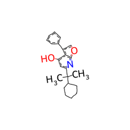 CC(C)(c1cc(O)c2c(-c3ccccc3)coc2n1)C1CCCCC1